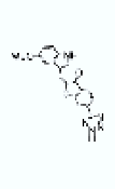 COc1ccc2[nH]cc(C=C3Oc4cc(-c5nn[nH]n5)ccc4C3=O)c2c1